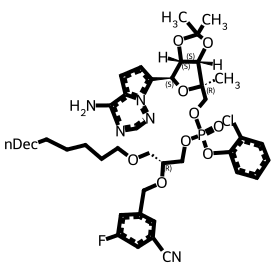 CCCCCCCCCCCCCCCOC[C@H](COP(=O)(OC[C@@]1(C)O[C@@H](c2ccc3c(N)ncnn23)[C@@H]2OC(C)(C)O[C@@H]21)Oc1ccccc1Cl)OCc1cc(F)cc(C#N)c1